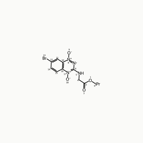 CC(C)OC(=O)CNc1n[n+]([O-])c2cc(Br)ccc2[n+]1[O-]